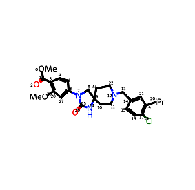 COC(=O)c1ccc(N2CC3(CCN(Cc4ccc(Cl)c(C(C)C)c4)CC3)NC2=O)cc1OC